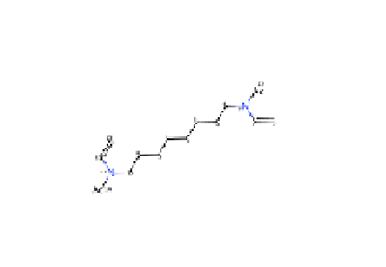 C=CN(CCCCCCCCN(C=C)C(C)=O)C(C)=O